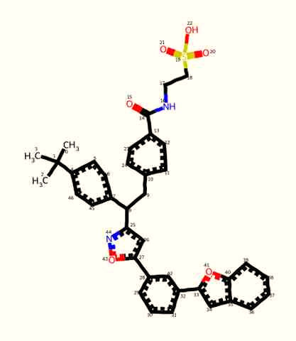 CC(C)(C)c1ccc(C(Cc2ccc(C(=O)NCCS(=O)(=O)O)cc2)c2cc(-c3cccc(-c4cc5ccccc5o4)c3)on2)cc1